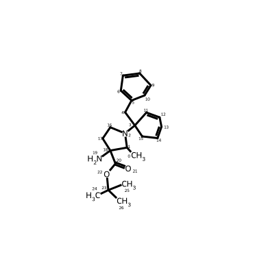 CC1N(C2(Cc3ccccc3)C=CC=CC2)CCC1(N)C(=O)OC(C)(C)C